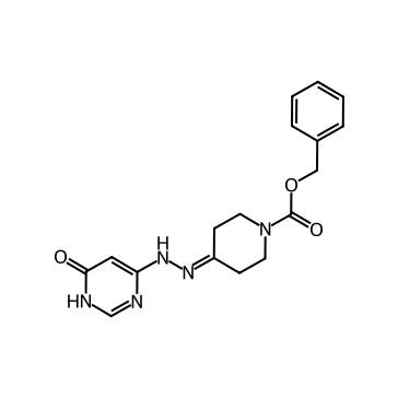 O=C(OCc1ccccc1)N1CCC(=NNc2cc(=O)[nH]cn2)CC1